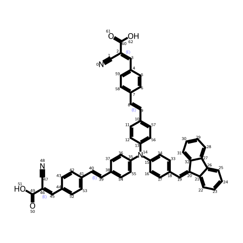 N#C/C(=C\c1ccc(/C=C/c2ccc(N(c3ccc(C=C4c5ccccc5-c5ccccc54)cc3)c3ccc(/C=C/c4ccc(/C=C(\C#N)C(=O)O)cc4)cc3)cc2)cc1)C(=O)O